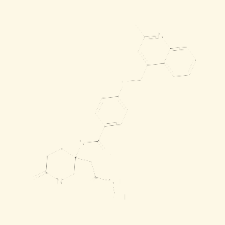 Cc1cc(COc2ccc(C(=O)NC3(CC(=O)NO)CCC(=O)NC3)cc2)c2ccccc2n1